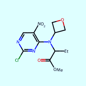 CCC(C(=O)OC)N(c1nc(Cl)ncc1[N+](=O)[O-])C1COC1